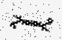 COC(=O)C(CSSN[C@H](C=O)CS)NC(=O)c1ccc(S(=O)(=O)c2ccc(C(=O)NC(CSSN[C@H](C=O)CS)C(=O)OC)cc2)cc1